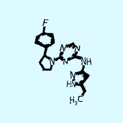 CCc1cc(Nc2ncnc(N3CCCC3c3ccc(F)cc3)n2)n[nH]1